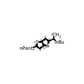 C[CH]CCC(C)c1cc2sc(CCCCC)cc2s1